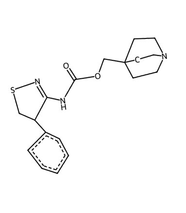 O=C(NC1=NSCC1c1ccccc1)OCC12CCN(CC1)CC2